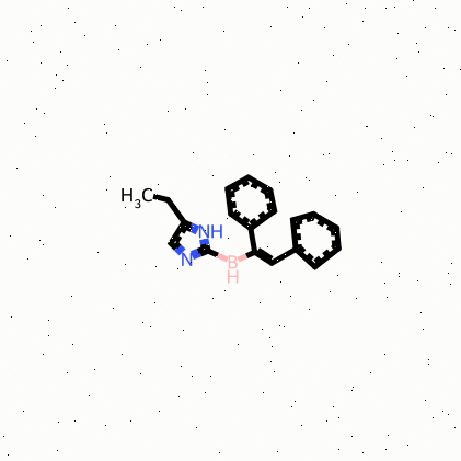 CCc1cnc(BC(=Cc2ccccc2)c2ccccc2)[nH]1